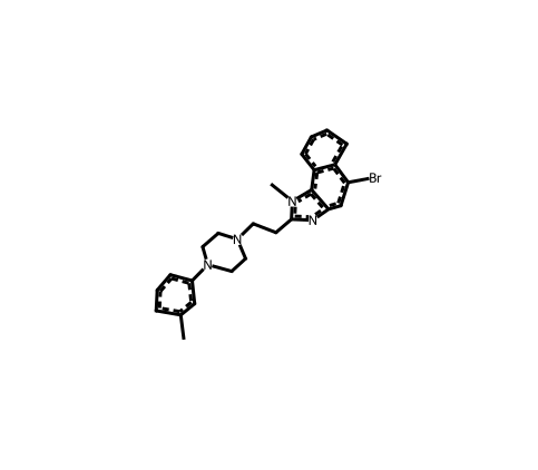 Cc1cccc(N2CCN(CCc3nc4cc(Br)c5ccccc5c4n3C)CC2)c1